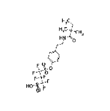 CCC(C)(C)C(=O)NCCc1ccc(OS(=O)(=O)C(F)(F)C(F)(F)C(F)(F)S(=O)(=O)O)cc1